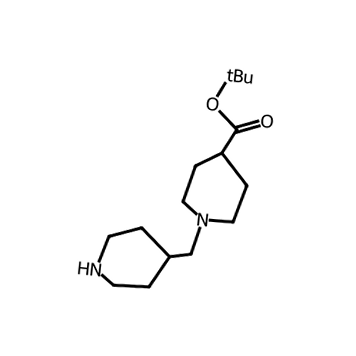 CC(C)(C)OC(=O)C1CCN(CC2CCNCC2)CC1